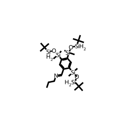 CCCN=Cc1cc([Si](C)(C)O[SiH2]C(C)(C)C)c([Si](C)(C)O[SiH2]C(C)(C)C)cc1[Si](C)(C)O[SiH2]C(C)(C)C